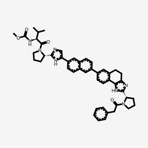 COC(=O)N[C@H](C(=O)N1CCC[C@H]1c1ncc(-c2ccc3cc(-c4ccc5c(c4)CCc4nc([C@@H]6CCCN6C(=O)Cc6ccccc6)[nH]c4-5)ccc3c2)[nH]1)C(C)C